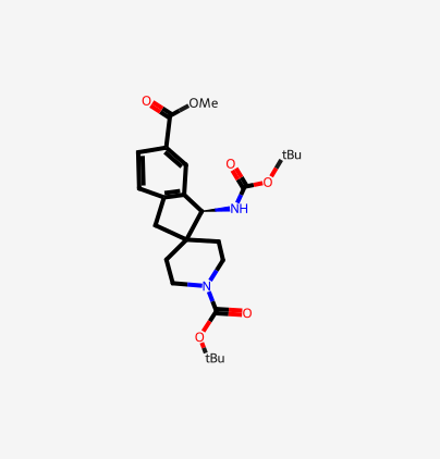 COC(=O)c1ccc2c(c1)[C@@H](NC(=O)OC(C)(C)C)C1(CCN(C(=O)OC(C)(C)C)CC1)C2